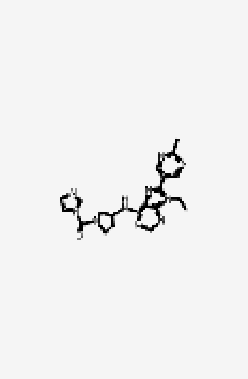 CCn1c(-c2cnc(C)nc2)nc2c(NC3CCN(C(=O)n4ccnc4)C3)ncnc21